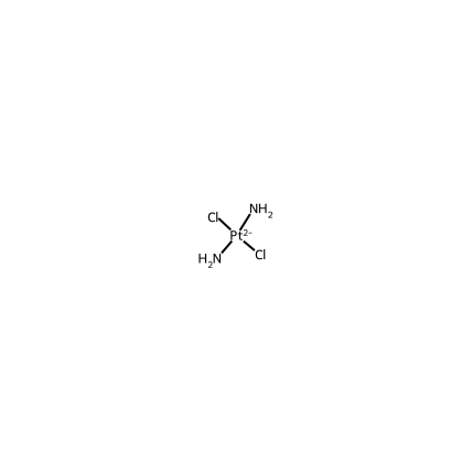 [NH2][Pt-2]([NH2])([Cl])[Cl]